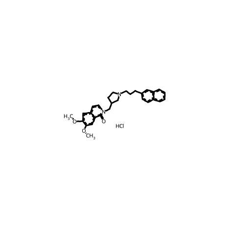 COc1cc2ccn(CC3CCN(CCCc4ccc5ccccc5c4)C3)c(=O)c2cc1OC.Cl